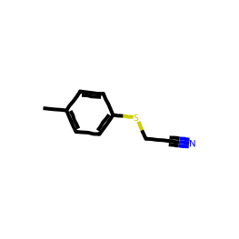 Cc1ccc(SCC#N)cc1